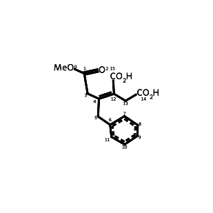 COC(=O)CC(Cc1ccccc1)=C(CC(=O)O)C(=O)O